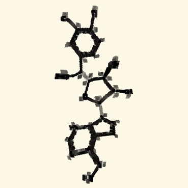 NN=c1nc[nH]c2c1cnn2[C@@H]1O[C@H](C(O)c2ccc(Cl)c(Cl)c2)[C@@H](O)[C@H]1O